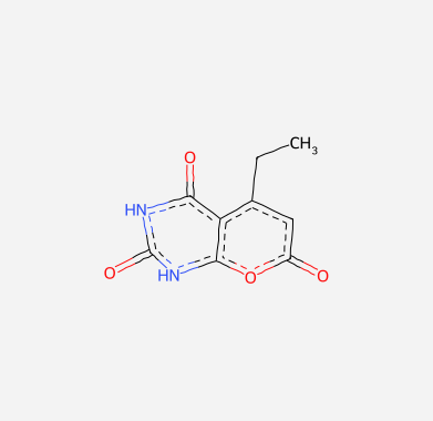 CCc1cc(=O)oc2[nH]c(=O)[nH]c(=O)c12